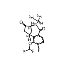 [2H]C([2H])([2H])N1C(=O)c2ccc(F)c(OC(F)F)c2[C@@H]2CC(=O)[C@H]1C2